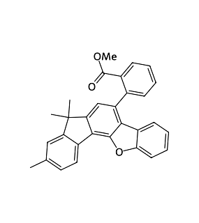 COC(=O)c1ccccc1-c1cc2c(c3oc4ccccc4c13)-c1ccc(C)cc1C2(C)C